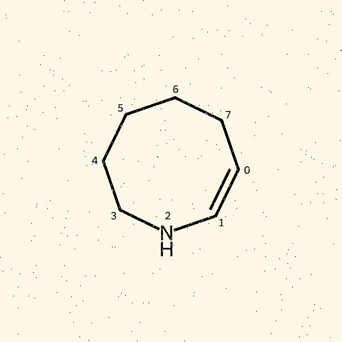 C1=CNCCCCC1